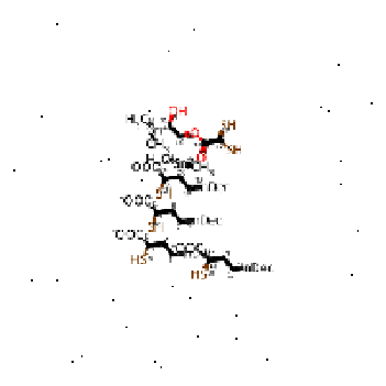 CCCCCCCCCCCCC(S)C(=O)[O-].CCCCCCCCCCCCC(S)C(=O)[O-].CCCCCCCCCCCCC(S)C(=O)[O-].CCCCCCCCCCCCC(S)C(=O)[O-].[CH3][Sn+2][CH3].[CH3][Sn+]([CH3])[CH](O)COC(=O)C(S)S